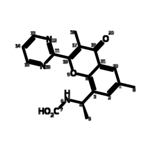 Cc1cc([C@@H](C)NC(=O)O)c2oc(-c3ncccn3)c(C)c(=O)c2c1